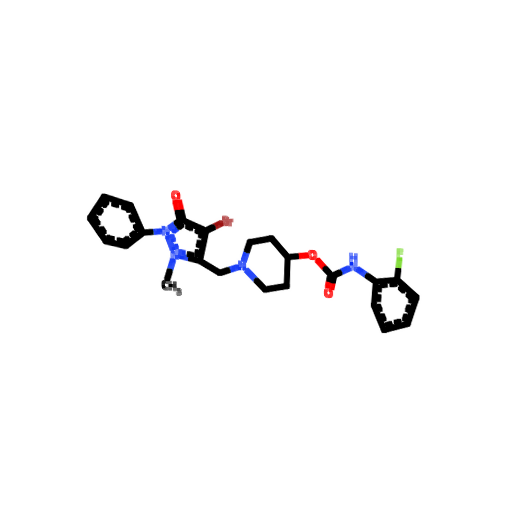 Cn1c(CN2CCC(OC(=O)Nc3ccccc3F)CC2)c(Br)c(=O)n1-c1ccccc1